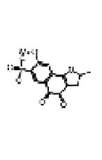 COc1cc2c(cc1S(=O)(=O)Cl)C(=O)C(=O)C1=C2OC(C)C1